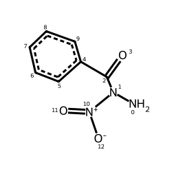 NN(C(=O)c1ccccc1)[N+](=O)[O-]